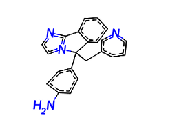 Nc1ccc(C2(Cc3cccnc3)c3ccccc3-c3nccn32)cc1